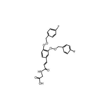 O=C(O)CNC(=O)C=Cc1ccc(OOCc2ccc(F)cc2)c(OOCc2ccc(F)cc2)c1